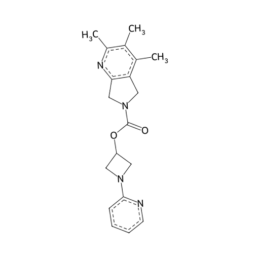 Cc1nc2c(c(C)c1C)CN(C(=O)OC1CN(c3ccccn3)C1)C2